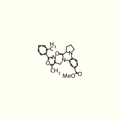 COC(=O)c1ccc2c(c1)N(Cc1nc(-c3ccccc3C)oc1C)C(=O)C1CCCN21